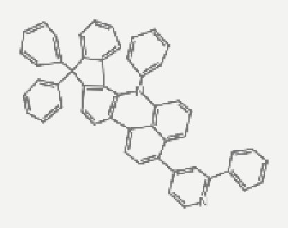 c1ccc(-c2cc(-c3ccc4c5c(cccc35)N(c3ccccc3)c3c-4ccc4c3-c3ccccc3C4(c3ccccc3)c3ccccc3)ccn2)cc1